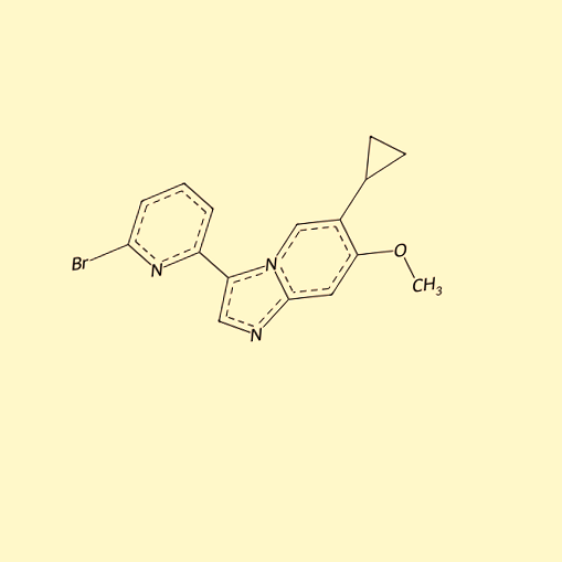 COc1cc2ncc(-c3cccc(Br)n3)n2cc1C1CC1